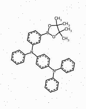 CC1(C)OB(c2cccc(N(c3ccccc3)c3ccc(N(c4ccccc4)c4ccccc4)cc3)c2)OC1(C)C